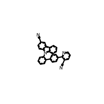 N#Cc1ccc2c(c1)c1ccccc1n2-c1ccccc1-c1ccc(-c2ncccc2C#N)cc1